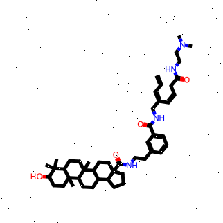 C=C/C=C(\C=C/CC(=O)NCCN(C)C)CNC(=O)c1cccc(CCNC(=O)C23CCCC2C2CCC4C(C)(CCC5C(C)(C)C(O)CCC54C)C2CC3)c1